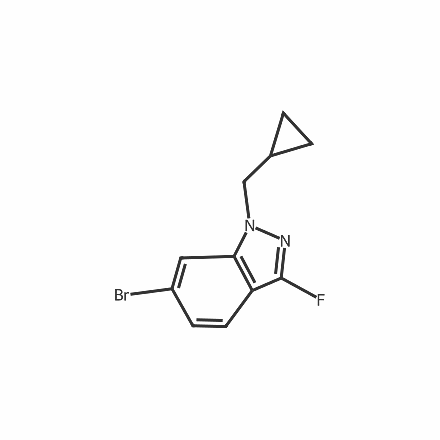 Fc1nn(CC2CC2)c2cc(Br)ccc12